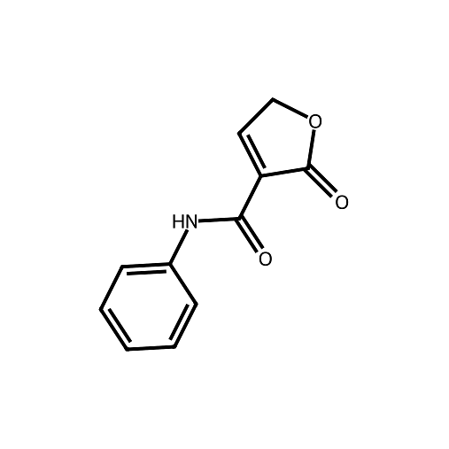 O=C(Nc1ccccc1)C1=CCOC1=O